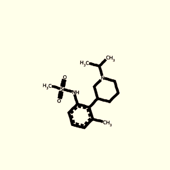 Cc1cccc(NS(C)(=O)=O)c1C1CCCN(C(C)C)C1